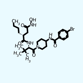 CCCC[C@H](CC(=O)NO)C(=O)N[C@H](C(=O)N1CCC(NC(=O)c2ccc(Br)cc2)CC1)C(C)(C)C